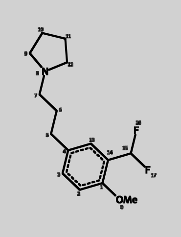 COc1ccc(CCCN2CCCC2)cc1C(F)F